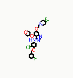 Fc1cccc(COc2ccc(Nc3ncnc4cc(OCCN5CCC(F)(F)CC5)cc(OC5CCOCC5)c34)cc2Cl)c1